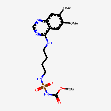 COc1cc2ncnc(NCCCCNS(=O)(=O)NC(=O)OC(C)(C)C)c2cc1OC